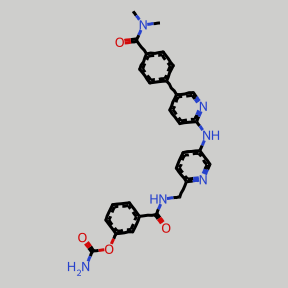 CN(C)C(=O)c1ccc(-c2ccc(Nc3ccc(CNC(=O)c4cccc(OC(N)=O)c4)nc3)nc2)cc1